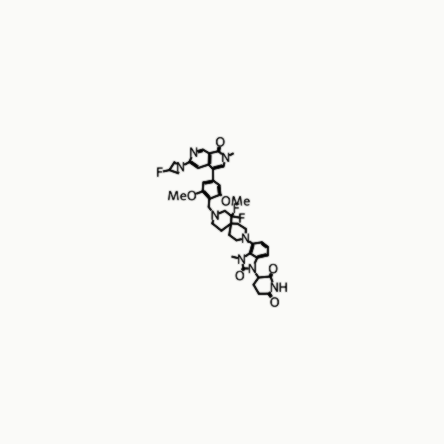 COc1cc(-c2cn(C)c(=O)c3cnc(N4CC(F)C4)cc23)cc(OC)c1CN1CCC2(CCN(c3cccc4c3n(C)c(=O)n4C3CCC(=O)NC3=O)CC2)C(F)(F)C1